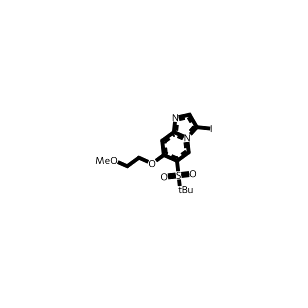 COCCOc1cc2ncc(I)n2cc1S(=O)(=O)C(C)(C)C